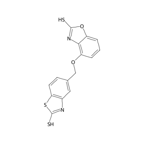 Sc1nc2c(OCc3ccc4sc(S)nc4c3)cccc2o1